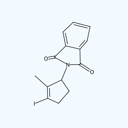 CC1=C(I)CCC1N1C(=O)c2ccccc2C1=O